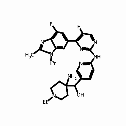 CCN1CCC(N)(C(O)c2ccc(Nc3ncc(F)c(-c4cc(F)c5nc(C)n(C(C)C)c5c4)n3)nc2)CC1